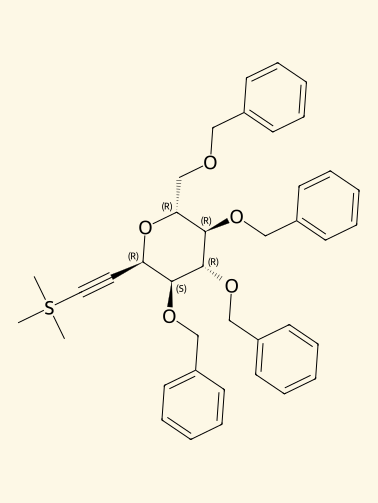 CS(C)(C)C#C[C@H]1O[C@H](COCc2ccccc2)[C@@H](OCc2ccccc2)[C@H](OCc2ccccc2)[C@H]1OCc1ccccc1